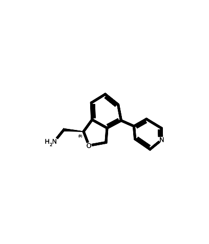 NC[C@@H]1OCc2c(-c3ccncc3)cccc21